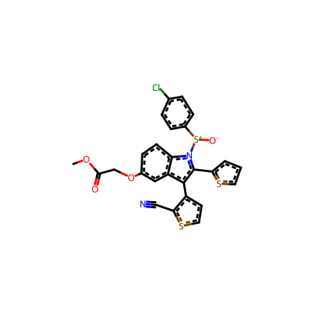 COC(=O)COc1ccc2c(c1)c(-c1ccsc1C#N)c(-c1cccs1)n2[S+]([O-])c1ccc(Cl)cc1